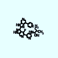 CC(C)C(O)Nc1cncc(-c2ncc3[nH]nc(-c4nc5c(-c6ccncc6)cncc5[nH]4)c3c2F)c1